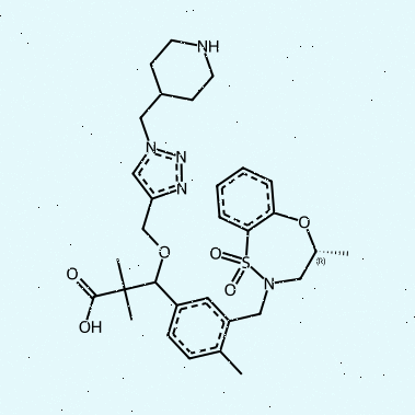 Cc1ccc(C(OCc2cn(CC3CCNCC3)nn2)C(C)(C)C(=O)O)cc1CN1C[C@@H](C)Oc2ccccc2S1(=O)=O